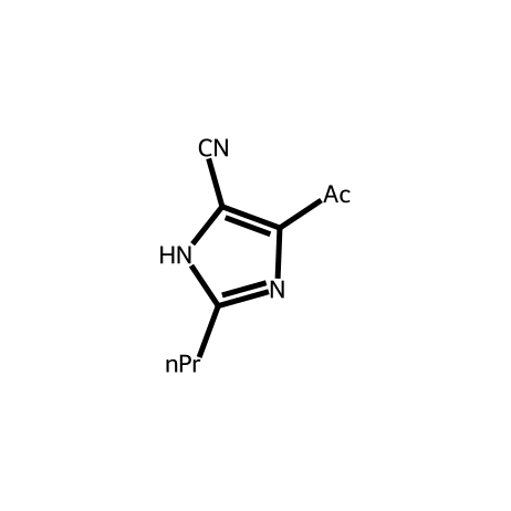 CCCc1nc(C(C)=O)c(C#N)[nH]1